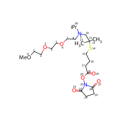 COCCOCCOCCN(CC(C)(C)SCCCC(=O)ON1C(=O)CCC1=O)C(C)C